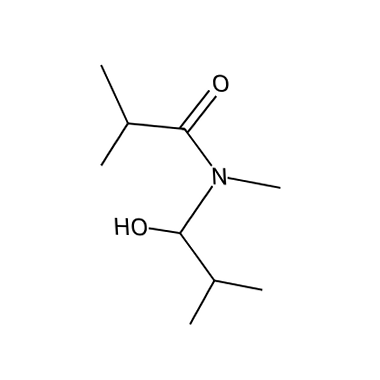 CC(C)C(=O)N(C)C(O)C(C)C